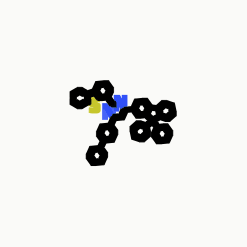 c1ccc(-c2ccc(-c3cc(-c4ccc5c(c4)C(c4ccccc4)(c4ccccc4)c4ccccc4-5)nc(-c4cccc5c4sc4ccccc45)n3)cc2)cc1